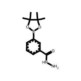 CC1(C)OB(c2cccc(C(=O)NN)c2)OC1(C)C